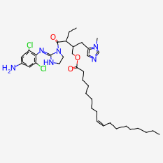 CCCCCCCC/C=C\CCCCCCCC(=O)OCC(Cc1cncn1C)C(CC)C(=O)N1CCN/C1=N\c1c(Cl)cc(N)cc1Cl